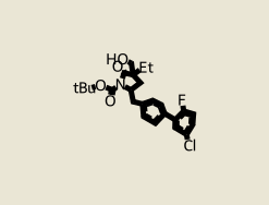 CCC1(CO)CC(Cc2ccc(-c3cc(Cl)ccc3F)cc2)N(C(=O)OC(C)(C)C)C1=O